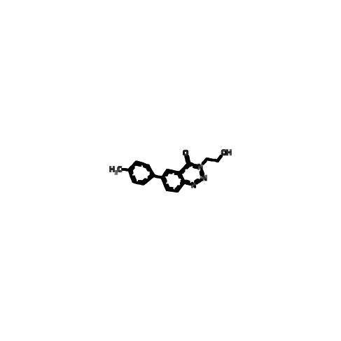 Cc1ccc(-c2ccc3nnn(CCO)c(=O)c3c2)cc1